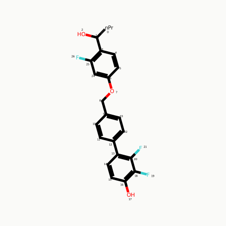 CCCC(O)c1ccc(OCc2ccc(-c3ccc(O)c(F)c3F)cc2)cc1F